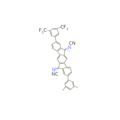 [C-]#[N+]/N=c1\c2cc(-c3cc(C)cc(C)c3)ccc2c2cc3/c(=N/C#N)c4cc(-c5cc(C(F)(F)F)cc(C(F)(F)F)c5)ccc4c3cc12